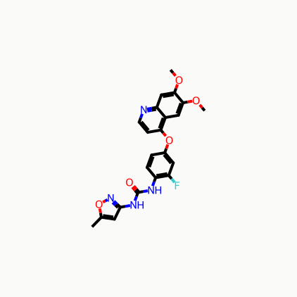 COc1cc2nccc(Oc3ccc(NC(=O)Nc4cc(C)on4)c(F)c3)c2cc1OC